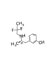 C[C@H](Cc1cccc(O)c1)NCC(C)(F)F